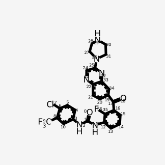 O=C(Nc1ccc(Cl)c(C(F)(F)F)c1)Nc1cccc(C(=O)c2ccc3ncc(N4CCNCC4)nc3c2)c1F